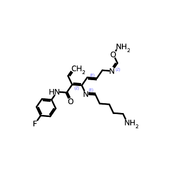 C=C/C(C(=O)Nc1ccc(F)cc1)=C(\C=C\C/N=C\ON)/N=C/CCCCN